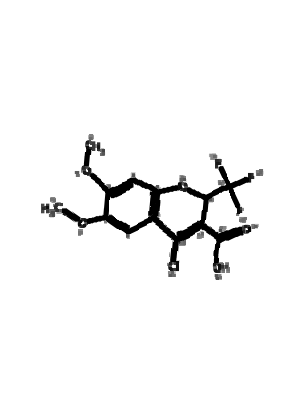 COc1cc2c(cc1OC)C(Cl)=C(C(=O)O)C(C(F)(F)F)O2